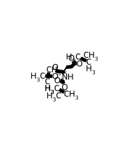 CC(C)(C)OC(=O)CC[C@@H](NC(=O)OC(C)(C)C)C(=O)OC(C)(C)C